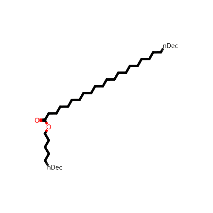 CCCCCCCCCCCCCCCCCCCCCCCCCCCCCCC(=O)OCCCCCCCCCCCCCCC